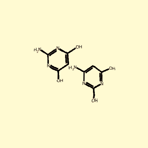 Nc1cc(O)nc(O)n1.Nc1nc(O)cc(O)n1